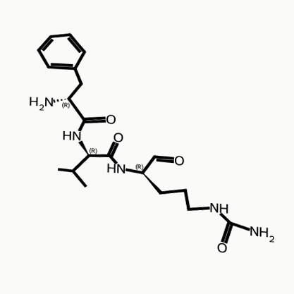 CC(C)[C@@H](NC(=O)[C@H](N)Cc1ccccc1)C(=O)N[C@@H](C=O)CCCNC(N)=O